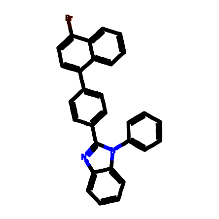 Brc1ccc(-c2ccc(-c3nc4ccccc4n3-c3ccccc3)cc2)c2ccccc12